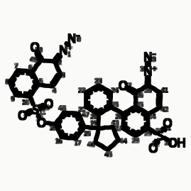 [N-]=[N+]=C1C=Cc2c(cccc2S(=O)(=O)Oc2ccc(C3(c4ccccc4-c4ccc(S(=O)(=O)O)c5c4C(=O)C(=[N+]=[N-])C=C5)CCCC3)cc2)C1=O